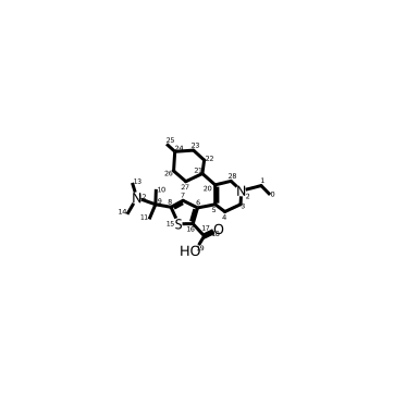 CCN1CCC(c2cc(C(C)(C)N(C)C)sc2C(=O)O)=C(C2CCC(C)CC2)C1